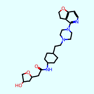 O=C(CC1CC(O)CO1)NC1CCC(CCN2CCN(c3nccc4c3CCO4)CC2)CC1